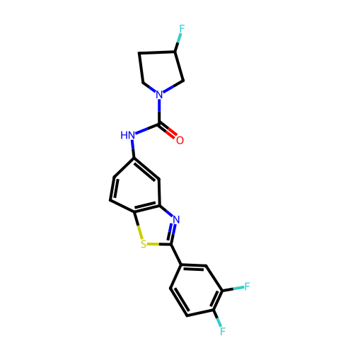 O=C(Nc1ccc2sc(-c3ccc(F)c(F)c3)nc2c1)N1CCC(F)C1